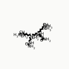 C[N+](C)(C)CCCCC[N+](C)(CCCNC(N)=O)CCC[N+](C)(CCCCC[N+](C)(C)C)CCNC(N)=O